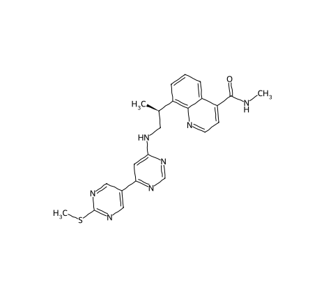 CNC(=O)c1ccnc2c([C@H](C)CNc3cc(-c4cnc(SC)nc4)ncn3)cccc12